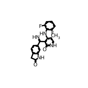 Cc1c[nH]c(=O)c(C(=N)c2ccc3c(c2)NC(=O)C3)c1Nc1c(F)cccc1F